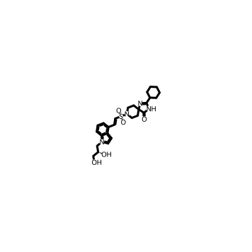 O=C1NC(C2CCCCC2)=NC12CCN(S(=O)(=O)/C=C/c1cccc3c1ccn3C[C@H](O)CO)CC2